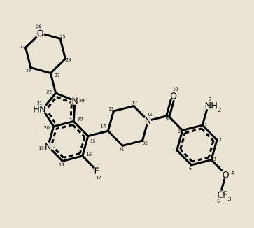 Nc1cc(OC(F)(F)F)ccc1C(=O)N1CCC(c2c(F)cnc3[nH]c(C4CCOCC4)nc23)CC1